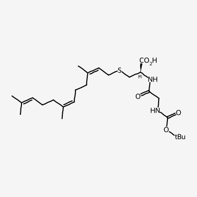 CC(C)=CCCC(C)=CCCC(C)=CCSC[C@H](NC(=O)CNC(=O)OC(C)(C)C)C(=O)O